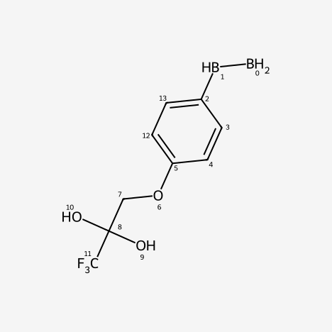 BBc1ccc(OCC(O)(O)C(F)(F)F)cc1